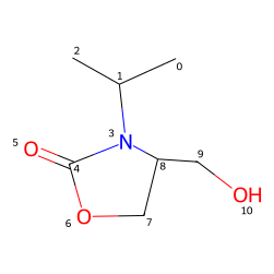 CC(C)N1C(=O)OCC1CO